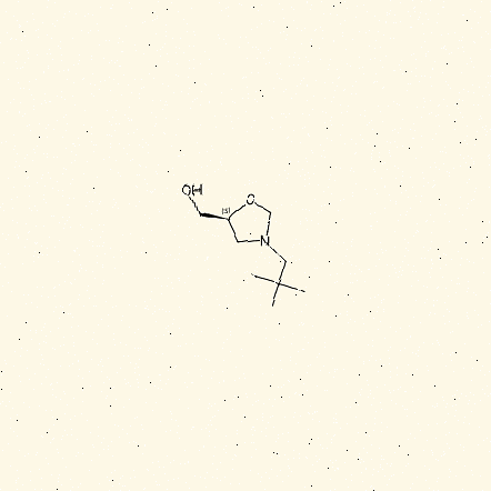 CC(C)(C)CN1CO[C@H](CO)C1